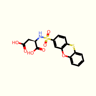 O=C(O)C[C@@H](NS(=O)(=O)c1ccc2c(c1)Oc1ccccc1S2)C(=O)O